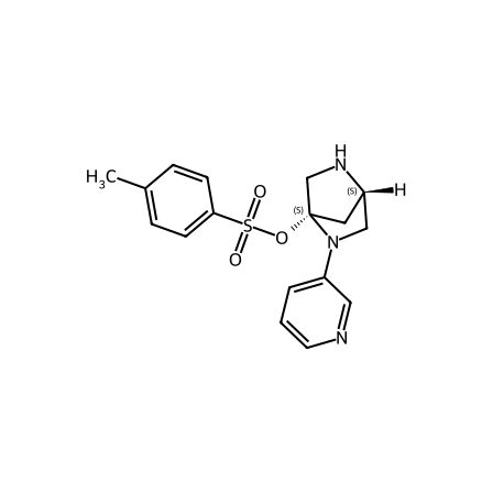 Cc1ccc(S(=O)(=O)O[C@@]23CN[C@H](CN2c2cccnc2)C3)cc1